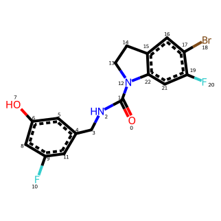 O=C(NCc1cc(O)cc(F)c1)N1CCc2cc(Br)c(F)cc21